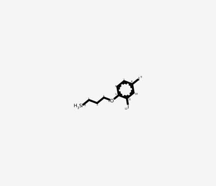 [SiH3]CCCOc1ccc(I)cc1I